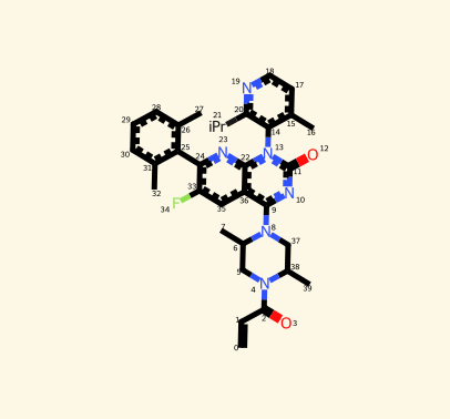 C=CC(=O)N1CC(C)N(c2nc(=O)n(-c3c(C)ccnc3C(C)C)c3nc(-c4c(C)cccc4C)c(F)cc23)CC1C